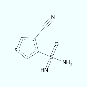 N#Cc1cscc1S(=N)(N)=O